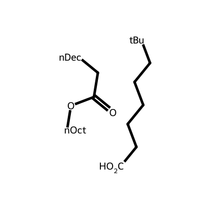 CC(C)(C)CCCCCC(=O)O.CCCCCCCCCCCC(=O)OCCCCCCCC